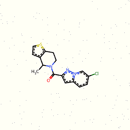 CC1c2ccsc2CCN1C(=O)c1cc2ccc(Cl)cn2n1